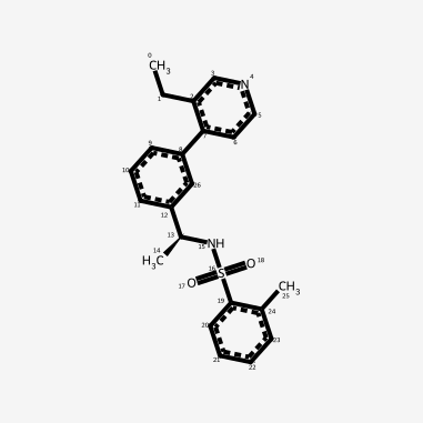 CCc1cnccc1-c1cccc([C@H](C)NS(=O)(=O)c2cc[c]cc2C)c1